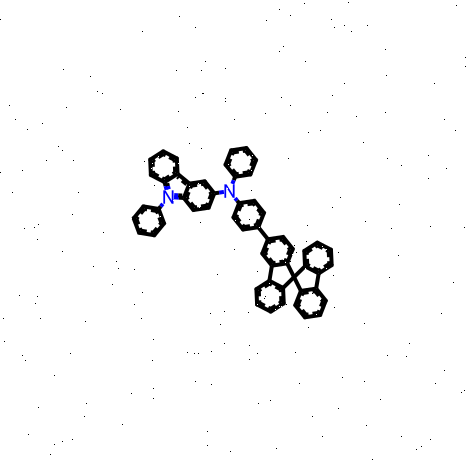 c1ccc(N(c2ccc(-c3ccc4c(c3)-c3ccccc3C43c4ccccc4-c4ccccc43)cc2)c2ccc3c(c2)c2ccccc2n3-c2ccccc2)cc1